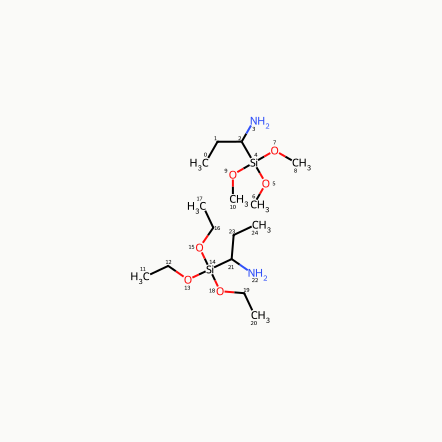 CCC(N)[Si](OC)(OC)OC.CCO[Si](OCC)(OCC)C(N)CC